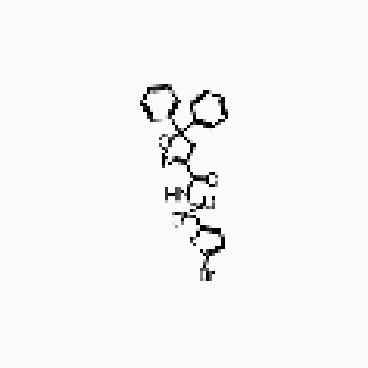 O=C(NS(=O)(=O)c1ccc(Br)s1)C1=NOC(c2ccccc2)(c2ccccc2)C1